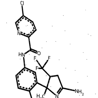 CC1(c2cc(NC(=O)c3ccc(Cl)cn3)ccc2F)N=C(N)CC1C(F)(F)F